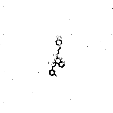 CN1CCN(CCCNC2=NC(N)(CCc3cccc(F)c3)c3cccnc3N2)CC1